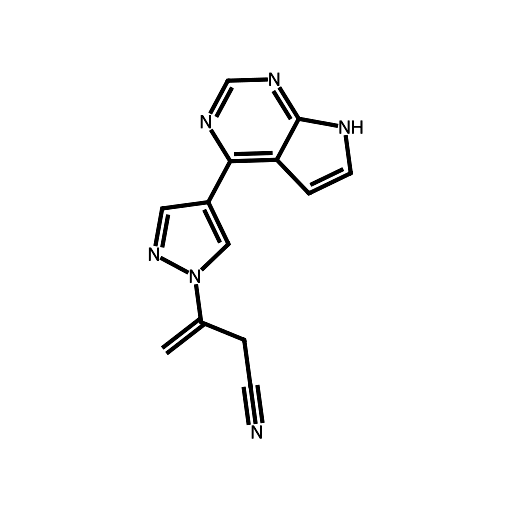 C=C(CC#N)n1cc(-c2ncnc3[nH]ccc23)cn1